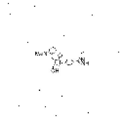 CNc1ccccc1CC1C(=O)N(c2ccc(-c3cn[nH]c3)cc2)CC1CO